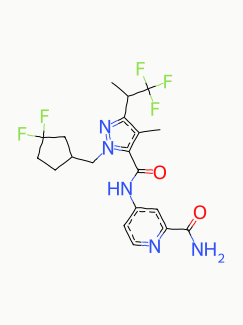 Cc1c(C(C)C(F)(F)F)nn(CC2CCC(F)(F)C2)c1C(=O)Nc1ccnc(C(N)=O)c1